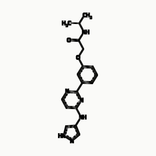 CC(C)NC(=O)COc1cccc(-c2nccc(Nc3cn[nH]c3)n2)c1